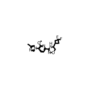 COc1nc(C2=NOCC(C3CC(F)(F)C3)N2)ccc1-n1cnc(C)c1